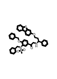 CS(=O)(=O)N(Cc1ccccc1)c1cc(C(=O)CNC(CCOc2ccc3c(c2)sc2ccccc23)c2ccccc2)ccc1OCc1ccccc1